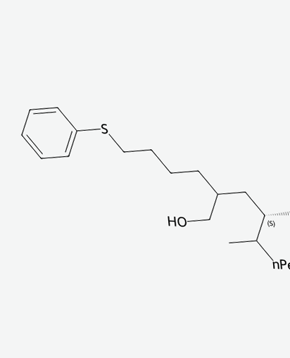 CCCCCC(C)[C@@H](C)CC(CO)CCCCSc1ccccc1